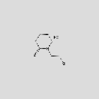 Cl.O=C1CCCCN1CCCl